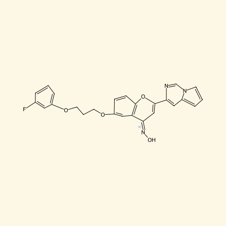 O/N=c1\cc(-c2cc3cccn3cn2)oc2ccc(OCCCOc3cccc(F)c3)cc12